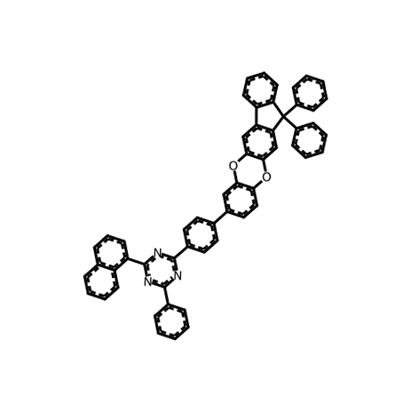 c1ccc(-c2nc(-c3ccc(-c4ccc5c(c4)Oc4cc6c(cc4O5)C(c4ccccc4)(c4ccccc4)c4ccccc4-6)cc3)nc(-c3cccc4ccccc34)n2)cc1